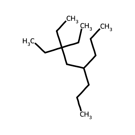 CCCC(CCC)CC(CC)(CC)CC